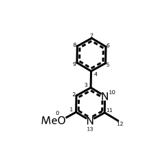 COc1cc(-c2ccccc2)nc(C)n1